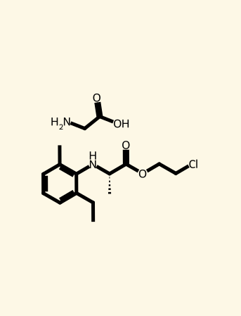 CCc1cccc(C)c1N[C@@H](C)C(=O)OCCCl.NCC(=O)O